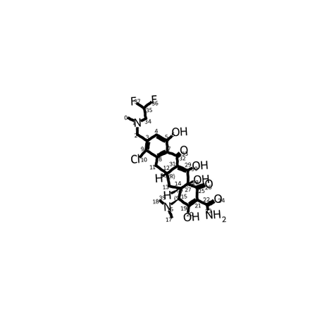 CN(Cc1cc(O)c2c(c1Cl)C[C@H]1C[C@H]3[C@H](N(C)C)C(O)=C(C(N)=O)C(=O)[C@@]3(O)C(O)=C1C2=O)CC(F)F